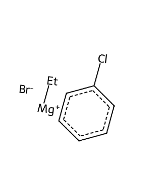 C[CH2][Mg+].Clc1ccccc1.[Br-]